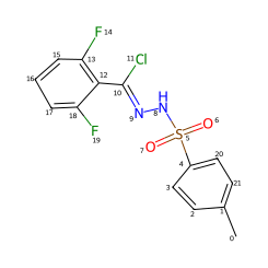 Cc1ccc(S(=O)(=O)NN=C(Cl)c2c(F)cccc2F)cc1